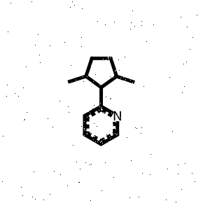 CC1CCC(C)C1c1ccccn1